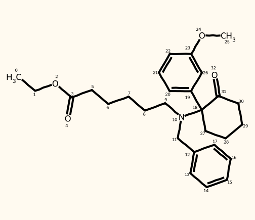 CCOC(=O)CCCCCN(Cc1ccccc1)C1(c2cccc(OC)c2)CCCCC1=O